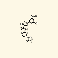 COc1cc(Cl)cc(N2C=C(C3(Nc4nccc(N5CCN(C)C5=O)n4)CC3)NC2)c1